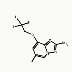 Cc1cc(OCC(F)(F)F)c2nc(N)nn2c1